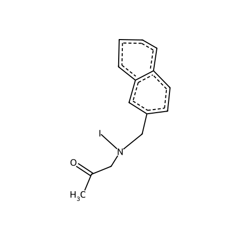 CC(=O)CN(I)Cc1ccc2ccccc2c1